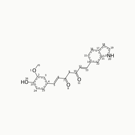 COc1cc(/C=C/C(=O)CC(=O)/C=C/c2ccc3cc[nH]c3c2)ccc1O